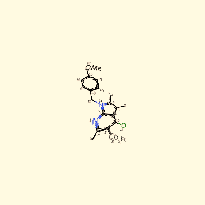 CCOC(=O)c1c(C)nc2c(c(C)c(C)n2Cc2ccc(OC)cc2)c1Cl